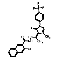 CC1=NN(c2ccc(C(F)(F)F)cc2)C(=O)/C1=C(/C)NNC(=O)c1cc2ccccc2cc1O